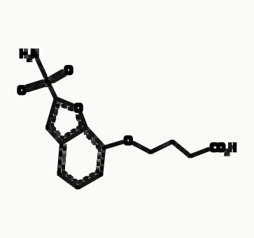 NS(=O)(=O)c1cc2cccc(OCCCC(=O)O)c2o1